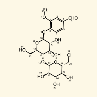 CCOc1cc(C=O)ccc1O[C@@H]1O[C@H](CO)[C@@H](O[C@H]2O[C@H](CO)[C@@H](O)[C@H](O)[C@H]2O)[C@H](O)[C@H]1O